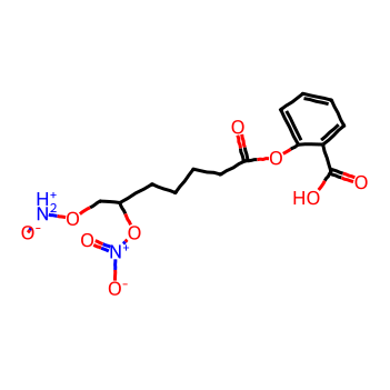 O=C(CCCCC(CO[NH2+][O-])O[N+](=O)[O-])Oc1ccccc1C(=O)O